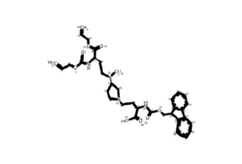 C=CCOC(=O)N[C@H](CCN(C)[C@@H]1CCN(CCC(NC(=O)OCC2c3ccccc3-c3ccccc32)C(=O)O)C1)C(=O)OCC=C